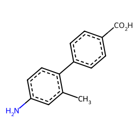 Cc1cc(N)ccc1-c1ccc(C(=O)O)cc1